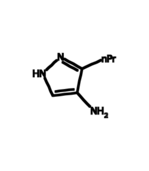 CCCc1n[nH]cc1N